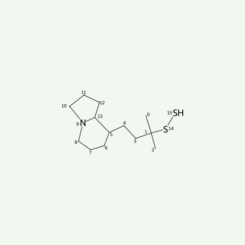 CC(C)(CCC1CCCN2CCCC12)SS